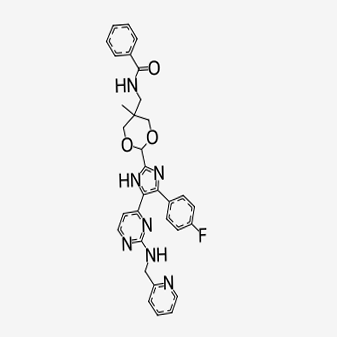 CC1(CNC(=O)c2ccccc2)COC(c2nc(-c3ccc(F)cc3)c(-c3ccnc(NCc4ccccn4)n3)[nH]2)OC1